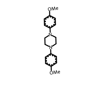 COc1ccc(N2CCN(c3ccc(OC)cc3)CC2)cc1